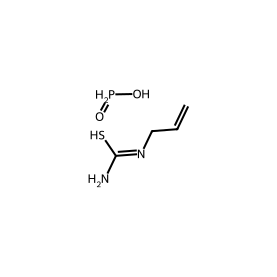 C=CCN=C(N)S.O=[PH2]O